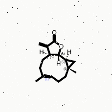 C=C1C(=O)O[C@@H]2[C@H]3C[C@]3(C)CC/C=C(\C)CC[C@@H]12